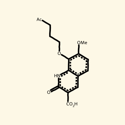 COc1ccc2cc(C(=O)O)c(=O)[nH]c2c1OCCCC(C)=O